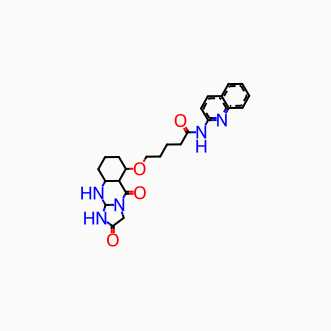 O=C(CCCCOC1CCCC2NC3NC(=O)CN3C(=O)C21)Nc1ccc2ccccc2n1